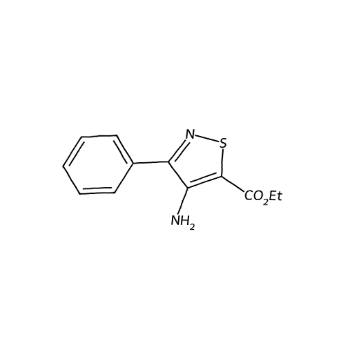 CCOC(=O)c1snc(-c2ccccc2)c1N